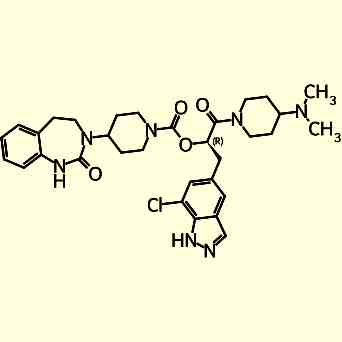 CN(C)C1CCN(C(=O)[C@@H](Cc2cc(Cl)c3[nH]ncc3c2)OC(=O)N2CCC(N3CCc4ccccc4NC3=O)CC2)CC1